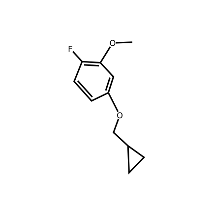 COc1cc(OCC2CC2)ccc1F